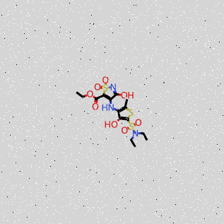 CCOC(=O)C1=C(Nc2c(C)sc(S(=O)(=O)N(CC)CC)c2O)C(O)=NS1(=O)=O